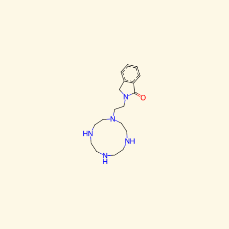 O=C1c2ccccc2CN1CCN1CCNCCNCCNCC1